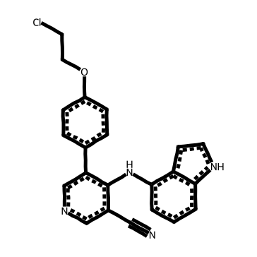 N#Cc1cncc(-c2ccc(OCCCl)cc2)c1Nc1cccc2[nH]ccc12